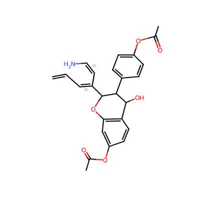 C=C/C=C(\C=C/N)C1Oc2cc(OC(C)=O)ccc2C(O)C1c1ccc(OC(C)=O)cc1